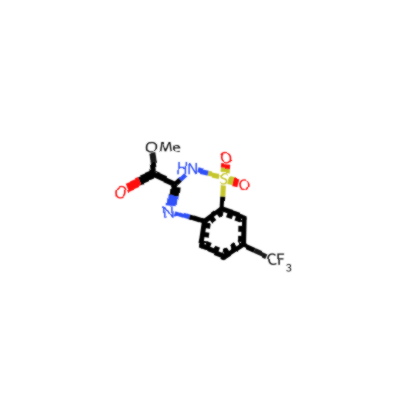 COC(=O)C1=Nc2ccc(C(F)(F)F)cc2S(=O)(=O)N1